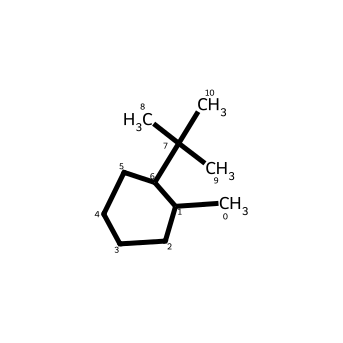 CC1CCCCC1C(C)(C)C